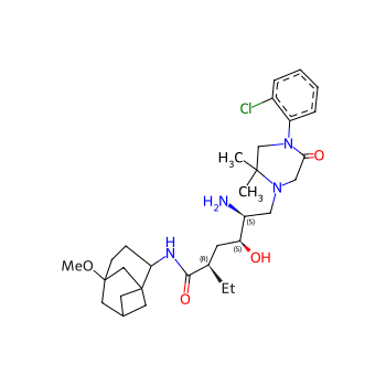 CC[C@H](C[C@H](O)[C@@H](N)CN1CC(=O)N(c2ccccc2Cl)CC1(C)C)C(=O)NC1CCC2(OC)CC3CC1(C3)C2